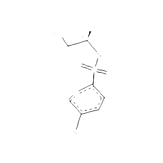 CC[C@@H](C)NS(=O)(=O)c1ccc(N)cc1